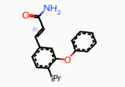 CC(C)c1ccc(/C=C/C(N)=O)cc1Oc1ccccc1